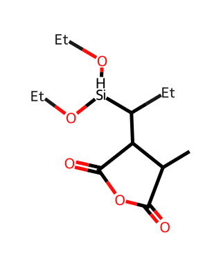 CCO[SiH](OCC)C(CC)C1C(=O)OC(=O)C1C